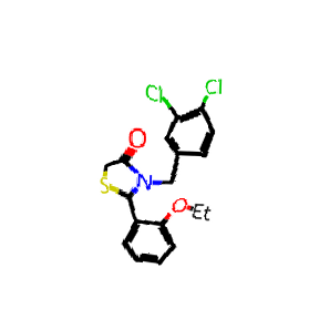 CCOc1ccccc1C1SCC(=O)N1Cc1ccc(Cl)c(Cl)c1